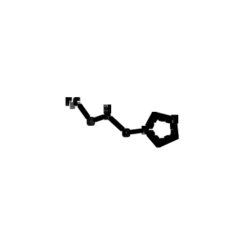 FC(F)(F)OBOn1ccnc1